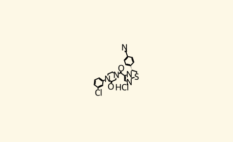 Cl.N#Cc1ccc([C@@H]2CSc3ncc(C(=O)N4CCN(c5cccc(Cl)c5)C(=O)C4)n32)cc1